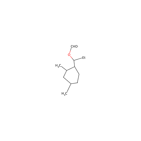 CCC(O[C]=O)C1CCC(C)CC1C